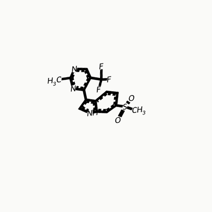 Cc1ncc(C(F)(F)F)c(-c2c[nH]c3cc(S(C)(=O)=O)ccc23)n1